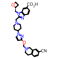 N#Cc1ccc2c(c1)CN(COc1ccn(C3CCN(Cc4nc5ccc(C(=O)O)cc5n4C[C@@H]4CCO4)CC3)n1)CC2